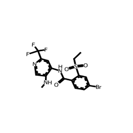 CCS(=O)(=O)c1cc(Br)ccc1C(=O)Nc1cc(C(F)(F)F)ncc1NC